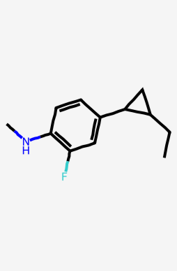 CCC1CC1c1ccc(NC)c(F)c1